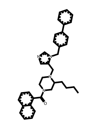 CCCCC1CN(C(=O)c2cccc3ccccc23)CCN1Cc1cncn1Cc1ccc(-c2ccccc2)cc1